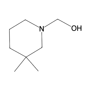 CC1(C)CCCN(CO)C1